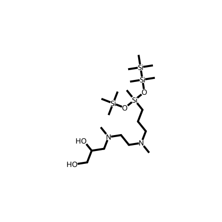 CN(CCC[Si](C)(O[Si](C)(C)C)O[Si](C)(C)[Si](C)(C)C)CCN(C)CC(O)CO